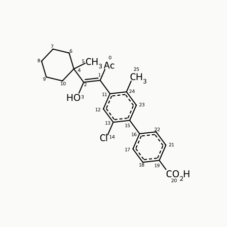 CC(=O)/C(=C(/O)C1(C)CCCCC1)c1cc(Cl)c(-c2ccc(C(=O)O)cc2)cc1C